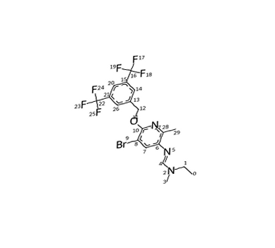 CCN(C)/C=N/c1cc(Br)c(OCc2cc(C(F)(F)F)cc(C(F)(F)F)c2)nc1C